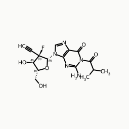 C#C[C@@]1(F)[C@H](O)[C@@H](CO)O[C@H]1n1cnc2c(=O)n(C(=O)C(C)C)c(N)nc21